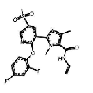 C=CNC(=O)c1c(C)cc(-c2cc(S(C)(=O)=O)cnc2Oc2ccc(F)cc2F)n1C